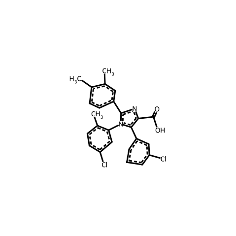 Cc1ccc(-c2nc(C(=O)O)c(-c3cccc(Cl)c3)n2-c2cc(Cl)ccc2C)cc1C